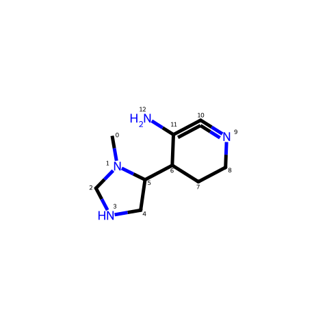 CN1CNCC1C1CCN=C=C1N